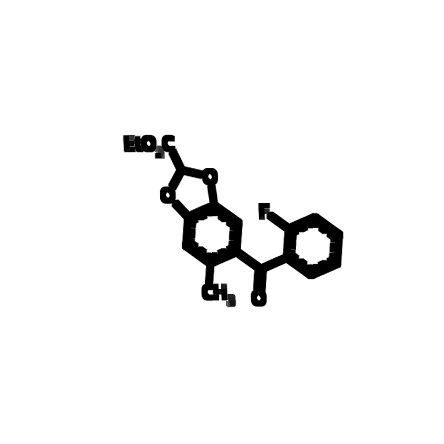 CCOC(=O)C1Oc2cc(C)c(C(=O)c3ccccc3F)cc2O1